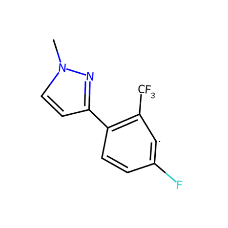 Cn1ccc(-c2ccc(F)[c]c2C(F)(F)F)n1